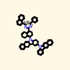 C/C(=N\C(=N/C(C)c1ccccc1)C1=C2C=CCCC2=C(N2C3=Cc4ccccc4CC3C3C=C(n4c5ccccc5c5cc6ccccc6cc54)CCC32)CC1)c1cccc2ccccc12